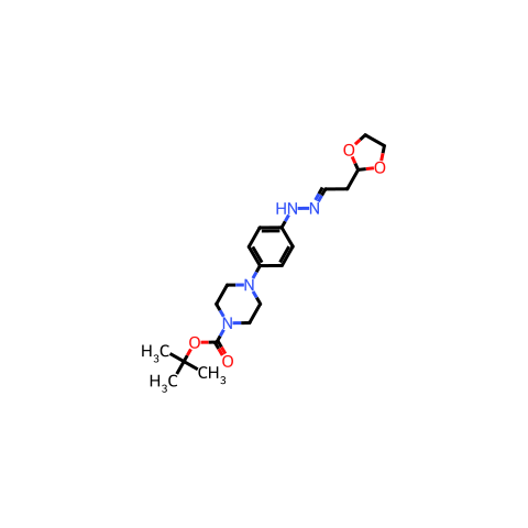 CC(C)(C)OC(=O)N1CCN(c2ccc(NN=CCC3OCCO3)cc2)CC1